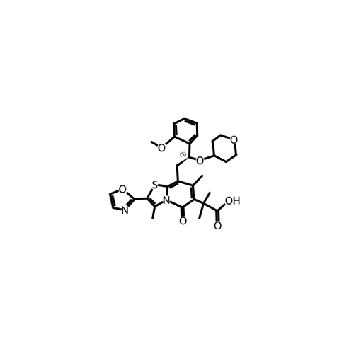 COc1ccccc1[C@H](Cc1c(C)c(C(C)(C)C(=O)O)c(=O)n2c(C)c(-c3ncco3)sc12)OC1CCOCC1